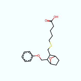 O=C(O)CCCCSCC1C2CCC(O2)C1COc1ccccc1